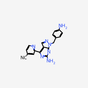 N#Cc1ccnc(-c2nc(N)nc3c2cnn3Cc2ccc(N)cc2)c1